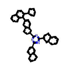 c1ccc(-c2ccc3ccccc3c2-c2ccc3cc(-c4nc(-c5ccc6ccccc6c5)nc(-c5ccc6ccccc6c5)n4)ccc3c2)cc1